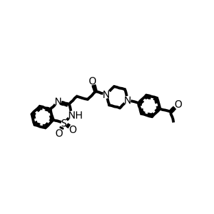 CC(=O)c1ccc(N2CCN(C(=O)CCC3=Nc4ccccc4S(=O)(=O)N3)CC2)cc1